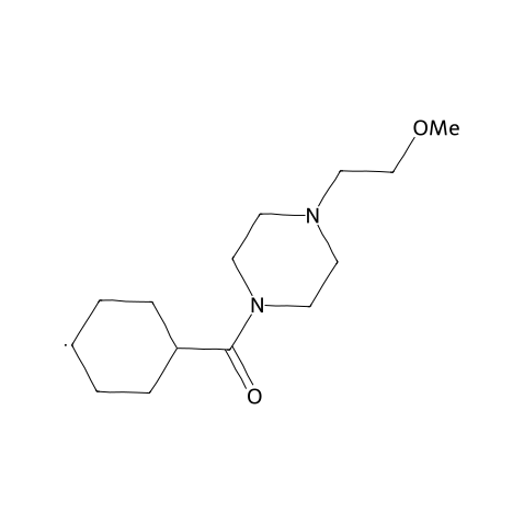 COCCN1CCN(C(=O)C2CC[CH]CC2)CC1